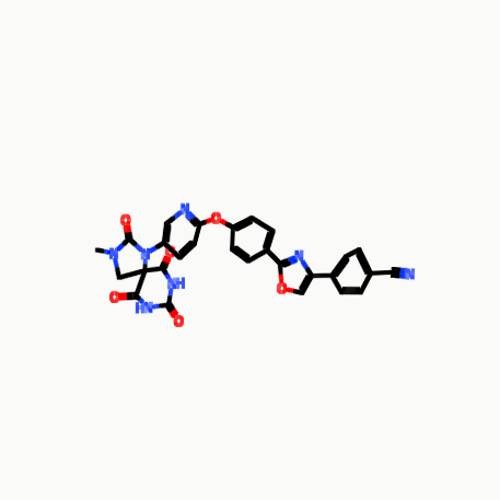 CN1CC2(C(=O)NC(=O)NC2=O)N(c2ccc(Oc3ccc(-c4nc(-c5ccc(C#N)cc5)co4)cc3)nc2)C1=O